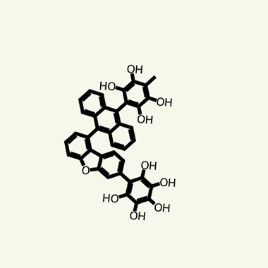 Cc1c(O)c(O)c(-c2c3ccccc3c(-c3cccc4oc5cc(-c6c(O)c(O)c(O)c(O)c6O)ccc5c34)c3ccccc23)c(O)c1O